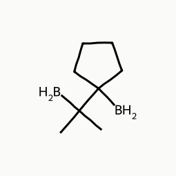 BC(C)(C)C1(B)CCCC1